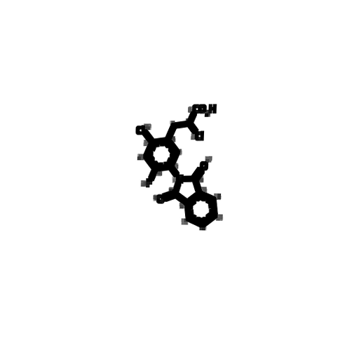 O=C(O)C(Cl)Cc1cc(N2C(=O)c3ccccc3C2=O)c(F)cc1Cl